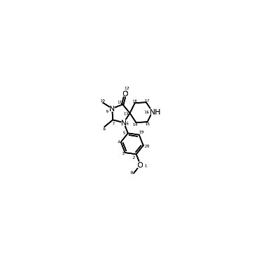 COc1ccc(N2C(C)N(C)C(=O)C23CCNCC3)cc1